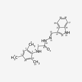 Cc1cc(C)c(NCC(=O)N/N=C/c2c[nH]c3ccccc23)c(C)c1